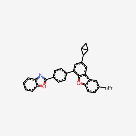 CCCc1ccc2oc3c(-c4ccc(-c5nc6ccccc6o5)cc4)cc(C4C5CC54)cc3c2c1